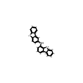 c1ccc2c(c1)sc1ccc(Nc3cccc4c3sc3ccccc34)cc12